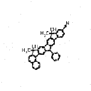 CC1(C)c2cc(C#N)ccc2-c2cc3c(cc21)-c1cc2c(cc1C3c1ccccc1)-c1c(ccc3ccccc13)C2(C)C